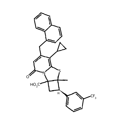 CC12Sc3c(C4CC4)c(Cc4cccc5ccccc45)cc(=O)n3C1(C(=O)O)C[C@@H]2c1cccc(C(F)(F)F)c1